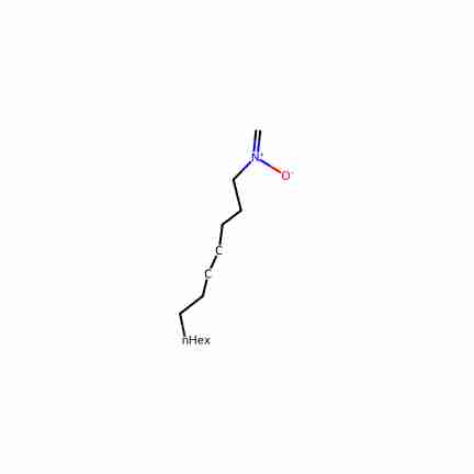 C=[N+]([O-])CCCCCCCCCCCCC